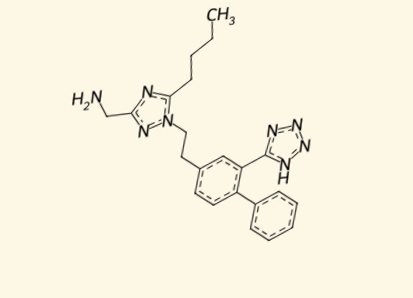 CCCCc1nc(CN)nn1CCc1ccc(-c2ccccc2)c(-c2nnn[nH]2)c1